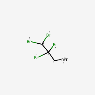 CCCCC(Br)(Br)C(Br)Br